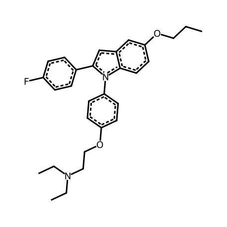 CCCOc1ccc2c(c1)cc(-c1ccc(F)cc1)n2-c1ccc(OCCN(CC)CC)cc1